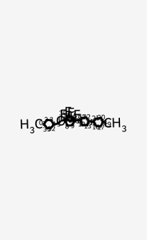 CC1CCC(COC23CCC(C4CCC(C5CCC(C)CC5)CC4)(CC2)C(F)(F)C3(F)F)CC1